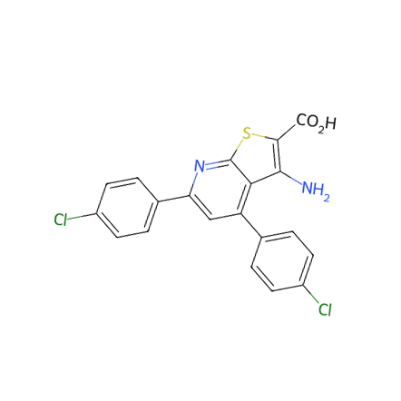 Nc1c(C(=O)O)sc2nc(-c3ccc(Cl)cc3)cc(-c3ccc(Cl)cc3)c12